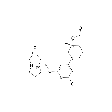 C[C@@]1(OC=O)CCCN(c2cc(OC[C@@]34CCCN3C[C@H](F)C4)nc(Cl)n2)C1